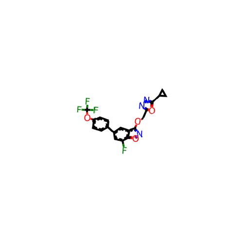 Fc1cc(-c2ccc(OC(F)(F)F)cc2)cc2c(OCc3nnc(C4CC4)o3)noc12